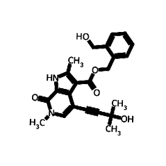 Cc1[nH]c2c(=O)n(C)cc(C#CC(C)(C)O)c2c1C(=O)OCc1ccccc1CO